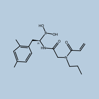 C=CC(=O)N(CCC)CC(=O)N[C@@H](Cc1ccc(C)cc1C)B(O)O